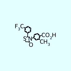 Cc1cc(N2C(=O)CSC2c2cccc(C(F)(F)F)c2)ccc1C(=O)O